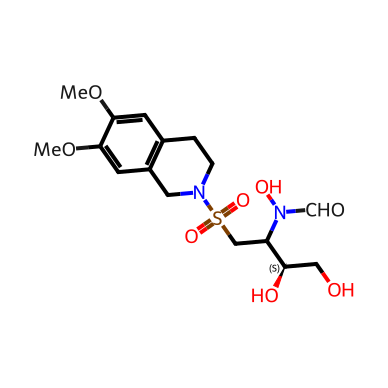 COc1cc2c(cc1OC)CN(S(=O)(=O)CC([C@H](O)CO)N(O)C=O)CC2